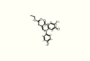 CCOC(=O)Cc1cn(-c2ccc(F)cc2)c2cc(Cl)c(F)cc2c1=O